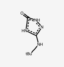 CC(C)(C)Nc1n[nH]c(=O)[nH]1